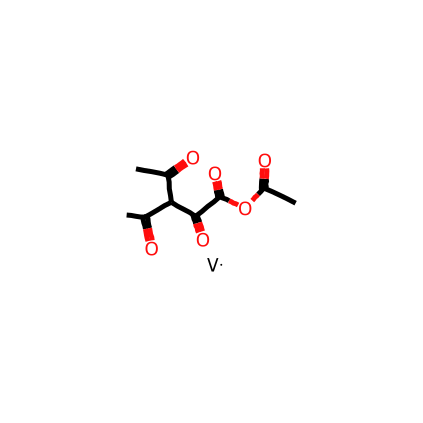 CC(=O)OC(=O)C(=O)C(C(C)=O)C(C)=O.[V]